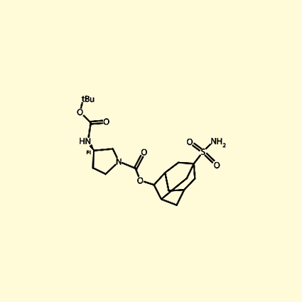 CC(C)(C)OC(=O)N[C@@H]1CCN(C(=O)OC2C3CC4CC2CC(S(N)(=O)=O)(C4)C3)C1